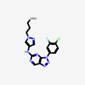 COCCCn1cc(Nc2ncc3nnn(-c4ccc(Cl)c(F)c4)c3n2)cn1